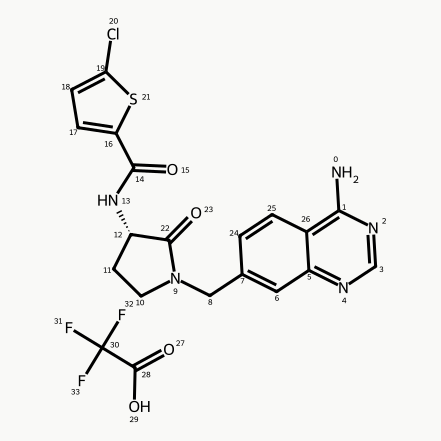 Nc1ncnc2cc(CN3CC[C@H](NC(=O)c4ccc(Cl)s4)C3=O)ccc12.O=C(O)C(F)(F)F